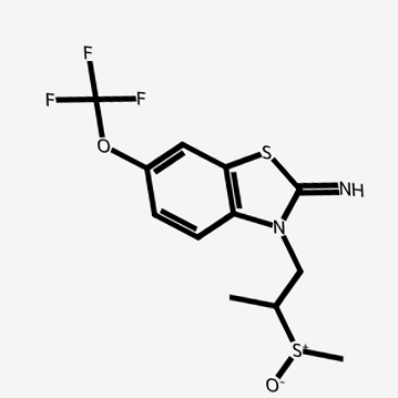 CC(Cn1c(=N)sc2cc(OC(F)(F)F)ccc21)[S+](C)[O-]